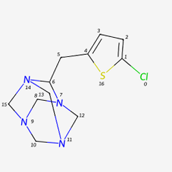 Clc1ccc(CC2N3CN4CN(C3)CN2C4)s1